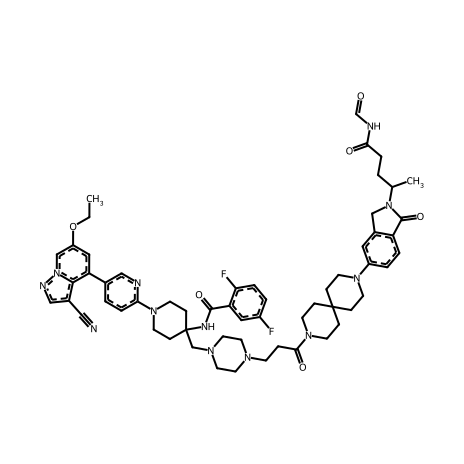 CCOc1cc(-c2ccc(N3CCC(CN4CCN(CCC(=O)N5CCC6(CC5)CCN(c5ccc7c(c5)CN(C(C)CCC(=O)NC=O)C7=O)CC6)CC4)(NC(=O)c4cc(F)ccc4F)CC3)nc2)c2c(C#N)cnn2c1